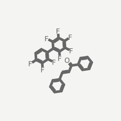 Fc1ccc(-c2c(F)c(F)c(F)c(F)c2F)c(F)c1F.O=C(C=Cc1ccccc1)c1ccccc1